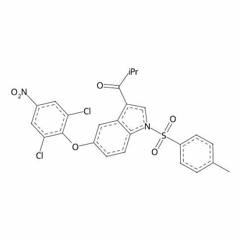 Cc1ccc(S(=O)(=O)n2cc(C(=O)C(C)C)c3cc(Oc4c(Cl)cc([N+](=O)[O-])cc4Cl)ccc32)cc1